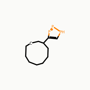 c1[pH]ppc1C1CCCCCCCCC1